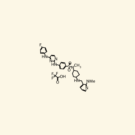 CNc1ncccc1CNC1CCC(N(C)S(=O)(=O)c2ccc(Nc3nccc(Nc4ccc(F)cc4)n3)cc2)CC1.O=C(O)C(F)(F)F